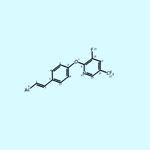 CC(=O)/C=C/c1ccc(Oc2ncc(C(F)(F)F)cc2F)cc1